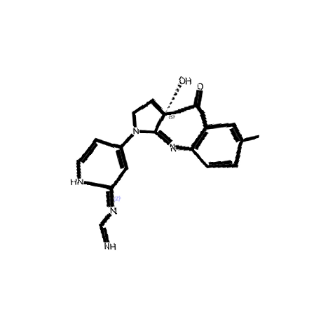 Cc1ccc2c(c1)C(=O)[C@]1(O)CCN(c3cc[nH]/c(=N\C=N)c3)C1=N2